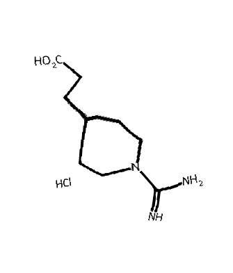 Cl.N=C(N)N1CCC(CCC(=O)O)CC1